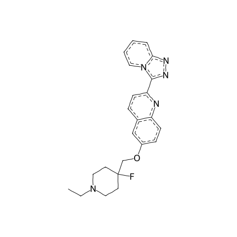 CCN1CCC(F)(COc2ccc3nc(-c4nnc5ccccn45)ccc3c2)CC1